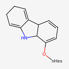 CCCCCCOC1=CC=CC2C3=CCCC=C3NC12